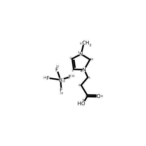 CN1C=CN(CCC(=O)O)C1.F[B-](F)(F)F